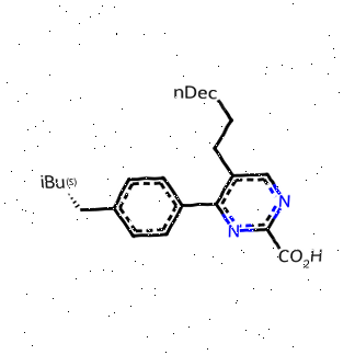 CCCCCCCCCCCCc1cnc(C(=O)O)nc1-c1ccc(C[C@@H](C)CC)cc1